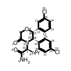 CCC[C@@H](C(N)=O)N1C(=O)CO[C@H](c2cccc(Cl)c2)[C@@H]1c1ccc(Cl)cc1